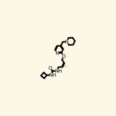 O=C(NC/C=C\COc1cc(CN2CCCCC2)ccn1)NC1CCC1